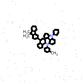 Cc1cccc(N(c2cccc3c2c2ccccc2n3-c2ccccc2)C2CC=C(c3ccc4c(c3)-c3ccccc3C4(C)C)c3ccccc32)c1